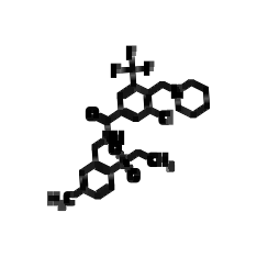 CCS(=O)(=O)c1ccc(C)cc1CNC(=O)c1cc(Cl)c(CN2CCCCC2)c(C(F)(F)F)c1